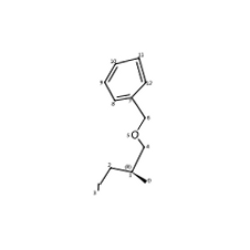 C[C@@H](CI)COCc1ccccc1